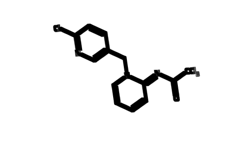 O=C(N=c1ccccn1Cc1ccc(Cl)nc1)C(Cl)(Cl)Cl